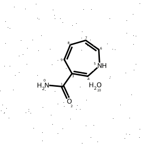 NC(=O)C1=CNC=CC=C1.O